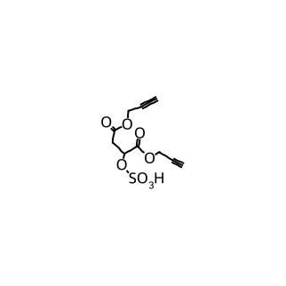 C#CCOC(=O)CC(OS(=O)(=O)O)C(=O)OCC#C